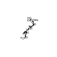 CCC(CO)OC(COC(=O)CCCC(=O)NCCSC1CC(=O)N(CCC(N)=O)C1=O)OC